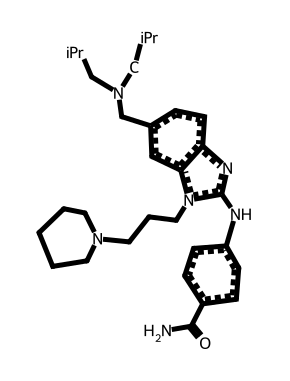 CC(C)CN(Cc1ccc2nc(Nc3ccc(C(N)=O)cc3)n(CCCN3CCCCC3)c2c1)CC(C)C